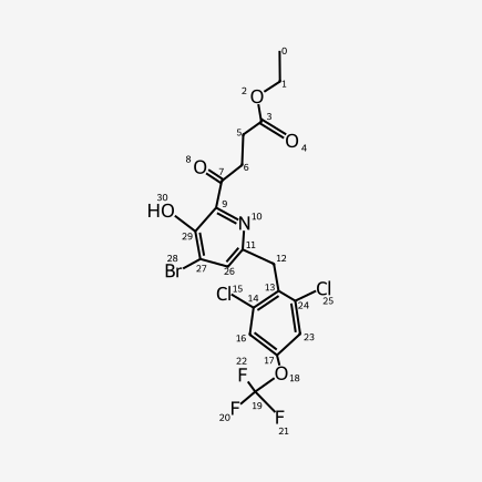 CCOC(=O)CCC(=O)c1nc(Cc2c(Cl)cc(OC(F)(F)F)cc2Cl)cc(Br)c1O